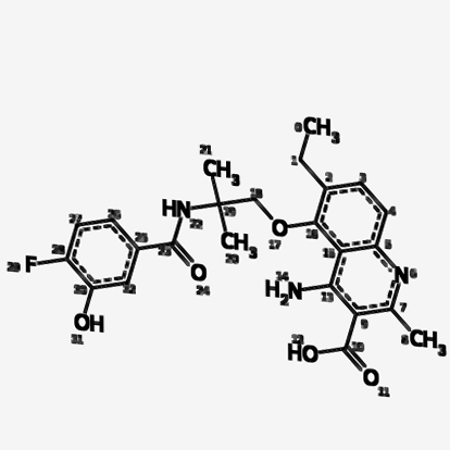 CCc1ccc2nc(C)c(C(=O)O)c(N)c2c1OCC(C)(C)NC(=O)c1ccc(F)c(O)c1